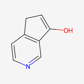 OC1=CCc2ccncc21